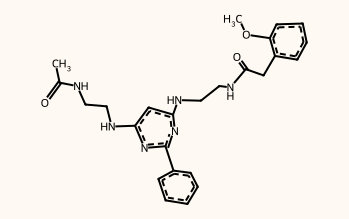 COc1ccccc1CC(=O)NCCNc1cc(NCCNC(C)=O)nc(-c2ccccc2)n1